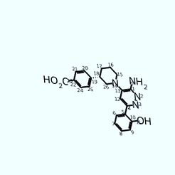 Nc1nnc(-c2ccccc2O)cc1N1CCC[C@@H](c2ccc(C(=O)O)cc2)C1